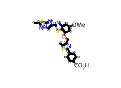 COc1cc(OCc2nc(-c3ccc(C(=O)O)cc3)sc2C)c2sc(-c3cn4nc(C)sc4n3)nc2c1